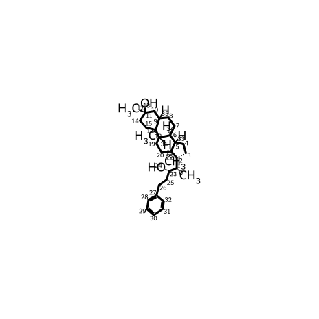 C[C@@H]([C@H]1CC[C@H]2[C@@H]3CC[C@H]4C[C@@](C)(O)CC[C@]4(C)[C@H]3CC[C@]12C)[C@@H](O)CCc1ccccc1